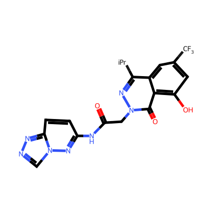 CC(C)c1nn(CC(=O)Nc2ccc3nncn3n2)c(=O)c2c(O)cc(C(F)(F)F)cc12